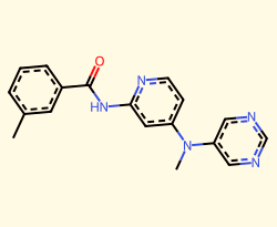 Cc1cccc(C(=O)Nc2cc(N(C)c3cncnc3)ccn2)c1